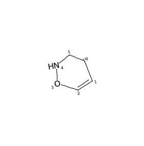 [C]1C=CONC1